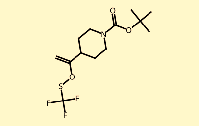 C=C(OSC(F)(F)F)C1CCN(C(=O)OC(C)(C)C)CC1